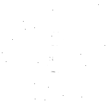 CC1=CCN(CC2CCCCC2)CC1